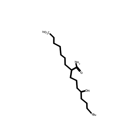 CC(C)(C)CCCC(O)CCCC(CCCCCCC(=O)O)C(N)=O